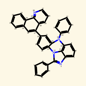 c1ccc(-c2nc3cccc4c3n2-c2ccc(-c3cc5ccccc5c5ncccc35)cc2N4c2ccccc2)cc1